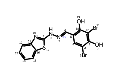 Oc1c(Br)cc(/C=N/Nc2nc3ccccc3s2)c(O)c1Br